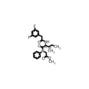 CC[C@H](C)[C@H](NC(=O)Cc1cc(F)cc(F)c1)C(=O)N(CC(=O)OC)c1ccccc1